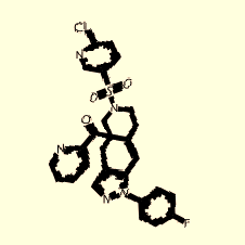 O=C(c1ccccn1)C12Cc3cnn(-c4ccc(F)cc4)c3C=C1CCN(S(=O)(=O)c1ccc(Cl)nc1)C2